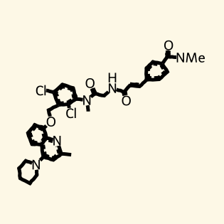 CNC(=O)c1ccc(C=CC(=O)NCC(=O)N(C)c2ccc(Cl)c(COc3cccc4c(N5CCCCC5)cc(C)nc34)c2Cl)cc1